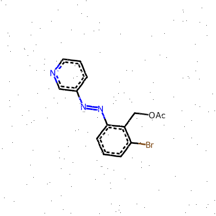 CC(=O)OCc1c(Br)cccc1/N=N/c1cccnc1